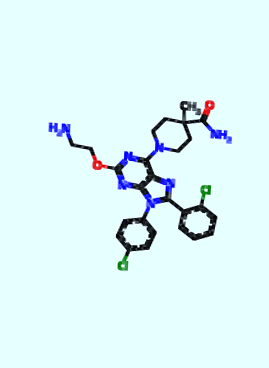 CC1(C(N)=O)CCN(c2nc(OCCN)nc3c2nc(-c2ccccc2Cl)n3-c2ccc(Cl)cc2)CC1